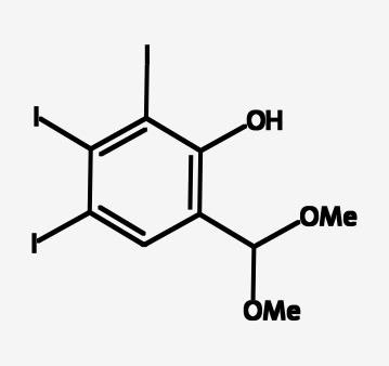 COC(OC)c1cc(I)c(I)c(I)c1O